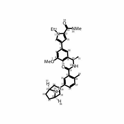 CCn1cc(-c2cc(OC)cc([C@@H](C)NC(=O)c3cc(N4C[C@H]5CC[C@@H](C4)N5)ccc3C)c2)cc1C(=O)NC